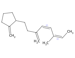 C=C(/C=C\C(C)=C/C)CCC1CCCC1=C